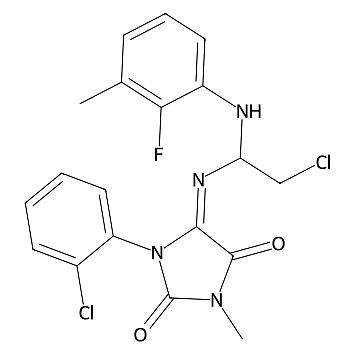 Cc1cccc(NC(CCl)N=C2C(=O)N(C)C(=O)N2c2ccccc2Cl)c1F